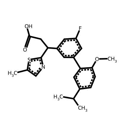 COc1ccc(C(C)C)cc1-c1cc(F)cc(C(CC(=O)O)c2ncc(C)s2)c1